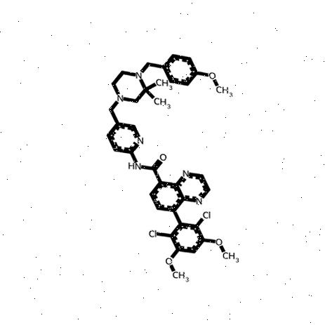 COc1ccc(CN2CCN(Cc3ccc(NC(=O)c4ccc(-c5c(Cl)c(OC)cc(OC)c5Cl)c5nccnc45)nc3)CC2(C)C)cc1